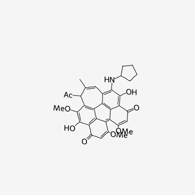 COc1c(O)c2c(=O)cc(OC)c3c4c(OC)cc(=O)c5c(O)c(NC6CCCC6)c6c(c(c1C(C(C)=O)C(C)=C6)c23)c54